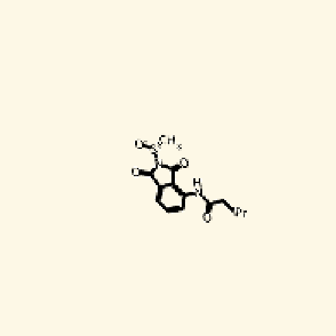 CC(C)CC(=O)Nc1cccc2c1C(=O)N([S+](C)[O-])C2=O